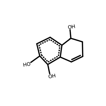 O[C]1CC=Cc2c1ccc(O)c2O